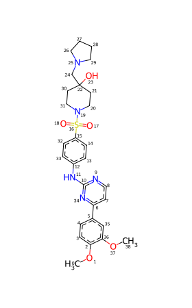 COc1ccc(-c2ccnc(Nc3ccc(S(=O)(=O)N4CCC(O)(CN5CCCC5)CC4)cc3)n2)cc1OC